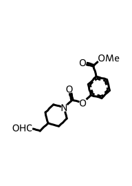 COC(=O)c1cccc(OC(=O)N2CCC(CC=O)CC2)c1